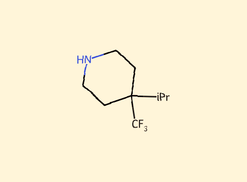 CC(C)C1(C(F)(F)F)CCNCC1